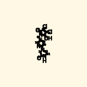 O=C1CN(c2ccc(CN3C(=O)C(Cl)=C(Cl)C3O)cn2)CCN1